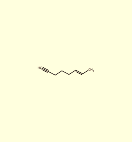 C#CCCCC=CC